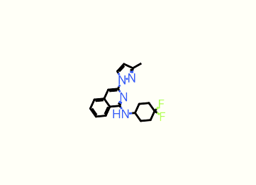 Cc1ccn(-c2cc3ccccc3c(NC3CCC(F)(F)CC3)n2)n1